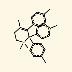 CC1=C(c2ccc(C)cc2)[B-](c2ccc(C)cc2)(c2ccc(C)cc2)[N+](C)(C)CC1